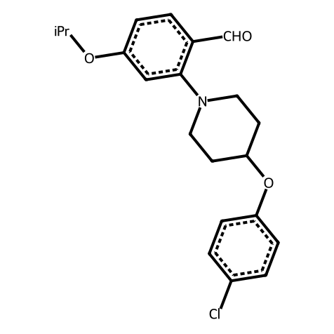 CC(C)Oc1ccc(C=O)c(N2CCC(Oc3ccc(Cl)cc3)CC2)c1